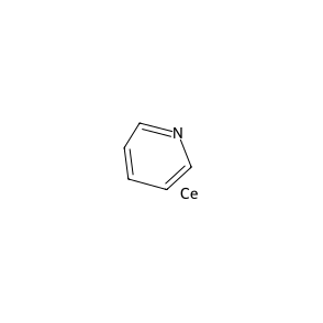 [Ce].c1ccncc1